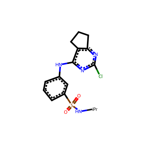 CC(C)NS(=O)(=O)c1cccc(Nc2nc(Cl)nc3c2CCC3)c1